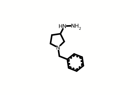 NNC1CCN(Cc2ccccc2)C1